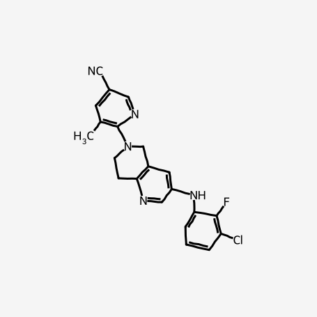 Cc1cc(C#N)cnc1N1CCc2ncc(Nc3cccc(Cl)c3F)cc2C1